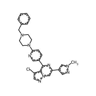 Cn1cc(-c2cn3ncc(Cl)c3c(-c3ccc(N4CCN(Cc5ccccc5)CC4)nc3)n2)cn1